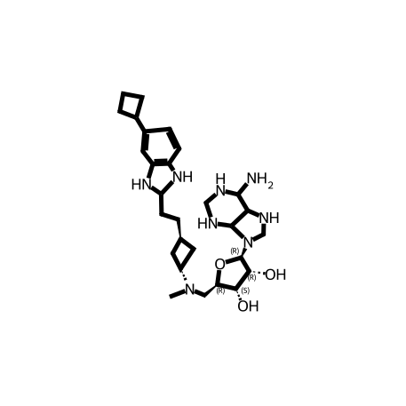 CN(C[C@H]1O[C@@H](N2CNC3C(N)NCNC32)[C@H](O)[C@@H]1O)[C@H]1C[C@H](CCC2Nc3ccc(C4CCC4)cc3N2)C1